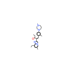 CCC(=O)/C(=C\c1ccc(N2CCCN(C)CC2)cc1C)c1cn2cc(C)cc(CC)c2n1